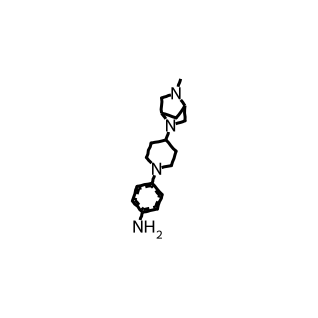 CN1CC2CC1CN2C1CCN(c2ccc(N)cc2)CC1